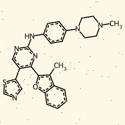 Cc1c(-c2nc(Nc3ccc(N4CCN(C)CC4)cc3)ncc2-c2cncs2)oc2ccccc12